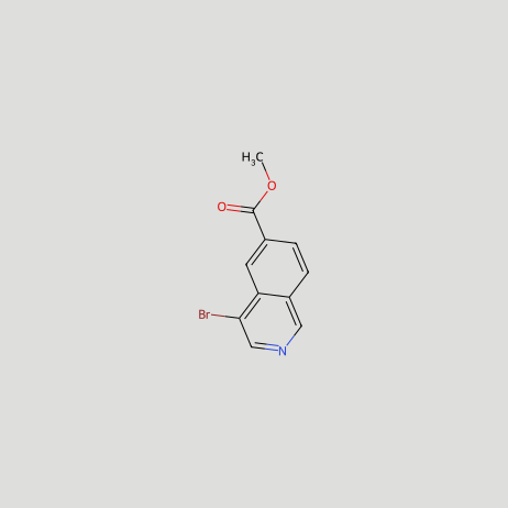 COC(=O)c1ccc2cncc(Br)c2c1